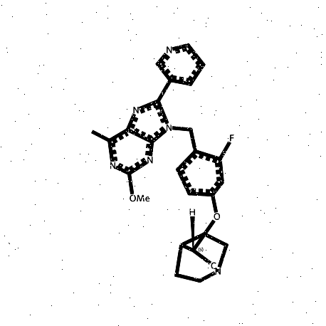 COc1nc(C)c2nc(-c3cccnc3)n(Cc3ccc(O[C@@H]4CN5CCC4CC5)cc3F)c2n1